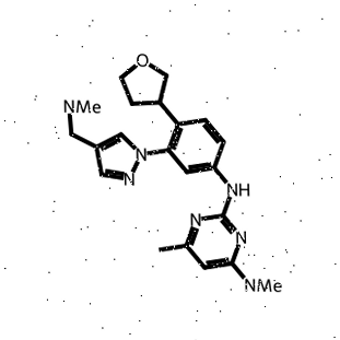 CNCc1cnn(-c2cc(Nc3nc(C)cc(NC)n3)ccc2C2CCOC2)c1